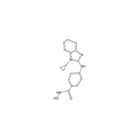 O=C(NO)c1ccc(Nc2nc3ccccc3n2C2CC2)cc1